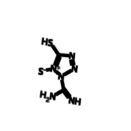 N=C(N)n1nnc(S)[n+]1[S-]